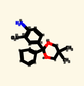 CC1(C)COC(c2ccccc2)(c2ccc(N)c([N+](=O)[O-])c2)OC1